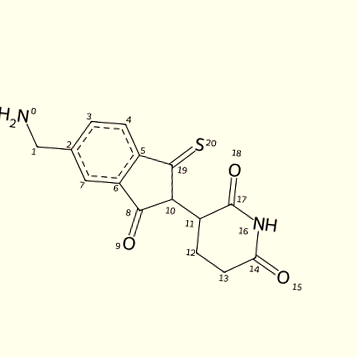 NCc1ccc2c(c1)C(=O)C(C1CCC(=O)NC1=O)C2=S